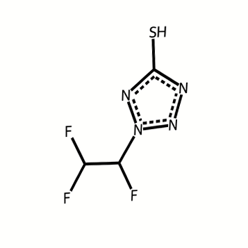 FC(F)C(F)n1nnc(S)n1